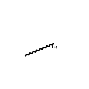 CCCCCCCCCCCCCCCCC(C)O